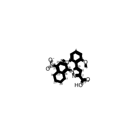 COc1cccc(OC)c1-c1cc(C(=O)O)nn1-c1ccc([N+](=O)[O-])c2c1CCCC2